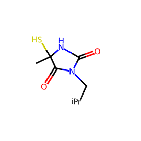 CC(C)CN1C(=O)NC(C)(S)C1=O